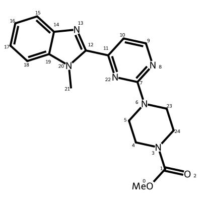 COC(=O)N1CCN(c2nccc(-c3nc4ccccc4n3C)n2)CC1